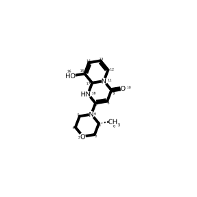 C[C@@H]1COCCN1C1=CC(=O)N2C=CC=C(O)C2N1